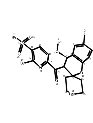 CC(C)O[C@H]1c2cc(F)ccc2OC2(CCNCC2)C1C(=O)c1ccc(S(=O)(=O)C(C)C)c(Br)n1